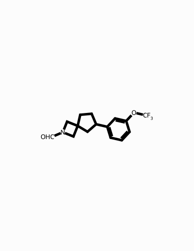 O=CN1CC2(CCC(c3cccc(OC(F)(F)F)c3)C2)C1